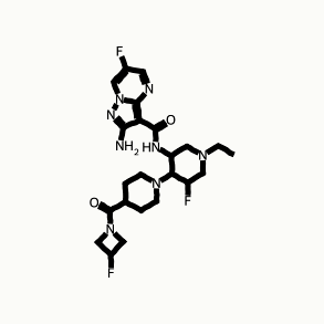 CCN1CC(F)C(N2CCC(C(=O)N3CC(F)C3)CC2)C(NC(=O)c2c(N)nn3cc(F)cnc23)C1